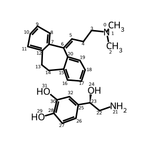 CN(C)CCC=C1c2ccccc2CCc2ccccc21.NC[C@H](O)c1ccc(O)c(O)c1